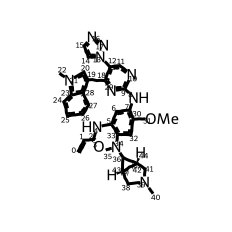 C=CC(=O)Nc1cc(Nc2ncc(-n3ccnn3)c(-c3cn(C)c4ccccc34)n2)c(OC)cc1N(C)C1[C@H]2CN(C)C[C@@H]12